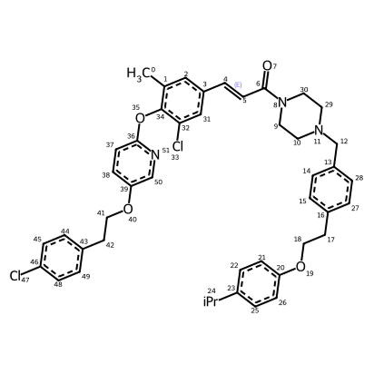 Cc1cc(/C=C/C(=O)N2CCN(Cc3ccc(CCOc4ccc(C(C)C)cc4)cc3)CC2)cc(Cl)c1Oc1ccc(OCCc2ccc(Cl)cc2)cn1